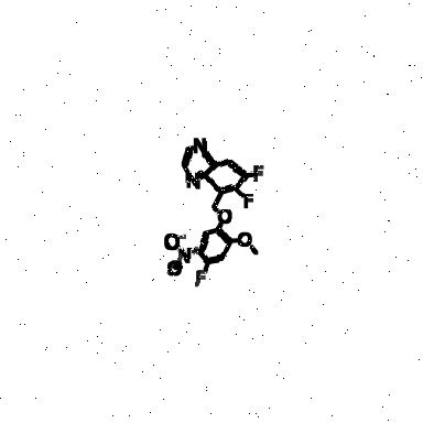 COc1cc(F)c([N+](=O)[O-])cc1OCc1c(F)c(F)cc2nccnc12